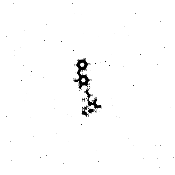 Cc1nc2ncnn2c(NCCOc2ccc(Cc3ccccc3)c(C)c2C)c1C